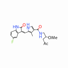 COC(CNC(=O)c1c[nH]c(/C=C2\C(=O)Nc3ccc(F)cc32)c1C)CC(C)=O